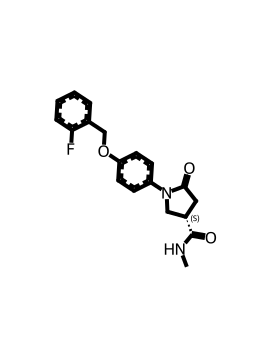 CNC(=O)[C@H]1CC(=O)N(c2ccc(OCc3ccccc3F)cc2)C1